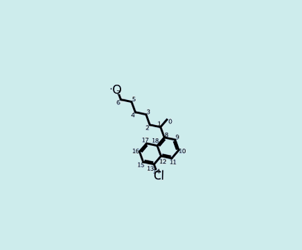 CC(CCCCC[O])c1cccc2c(Cl)cccc12